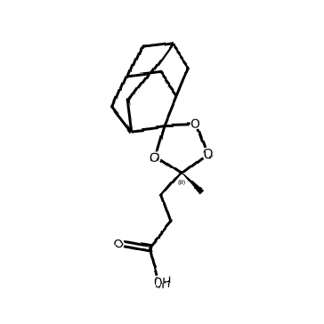 C[C@]1(CCC(=O)O)OOC2(O1)C1CC3CC(C1)CC2C3